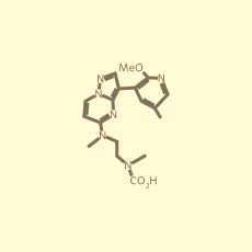 COc1ncc(C)cc1-c1cnn2ccc(N(C)CCN(C)C(=O)O)nc12